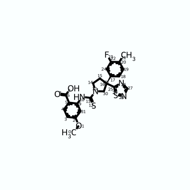 COc1ccc(C(=O)O)c(NC(=S)N2CC[C@](c3ccc(C)c(F)c3)(c3ncns3)C2)c1